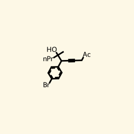 CCCC(C)(O)C(C#CCC(C)=O)c1ccc(Br)cc1